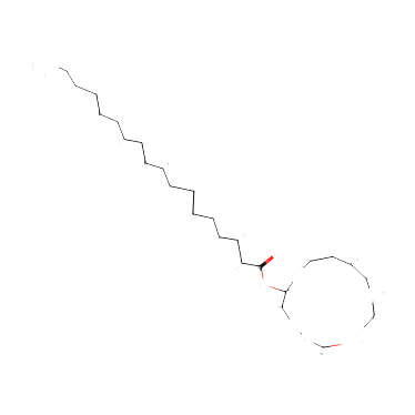 [CH2]CCCCCCCCCCCCCCCCC(=O)OC1CCCCCC[CH]COCCCC1